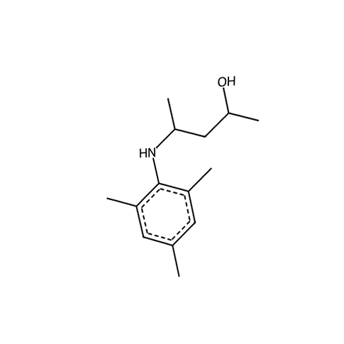 Cc1cc(C)c(NC(C)CC(C)O)c(C)c1